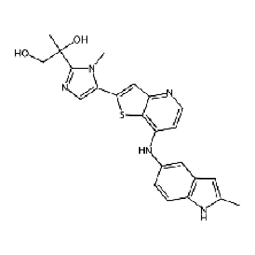 Cc1cc2cc(Nc3ccnc4cc(-c5cnc(C(C)(O)CO)n5C)sc34)ccc2[nH]1